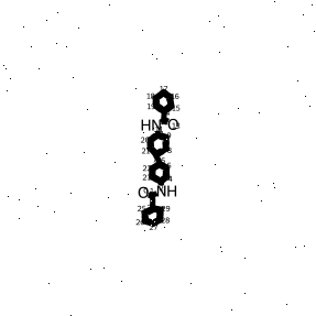 O=C(Nc1ccc(-c2ccc(NC(=O)c3ccccc3)cc2)cc1)c1ccccc1